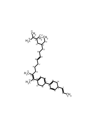 C/C=C/C1C=CC(C2=CC=C(/C(C)=C(/C)CCC/C=C/CCC(CC)CC(C)C(C)C)CC2)=CC1